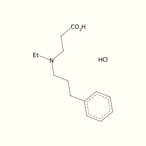 CCN(CCCc1ccccc1)CCC(=O)O.Cl